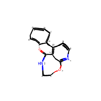 O=C1NCCOc2nccc(-c3ccccc3)c21